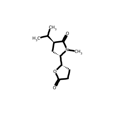 CC(C)[C@@H]1C[C@@H]([C@@H]2CCC(=O)O2)N(C)C1=O